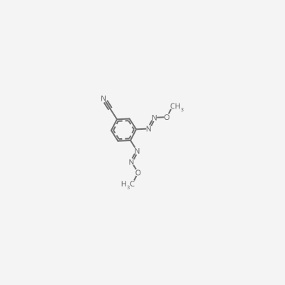 CON=Nc1ccc(C#N)cc1N=NOC